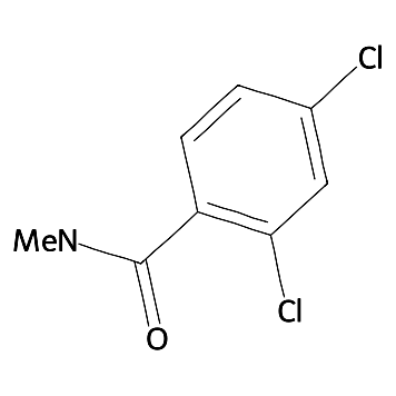 [CH2-][NH2+]C(=O)c1ccc(Cl)cc1Cl